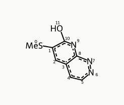 CSc1cc2ccnnc2nc1O